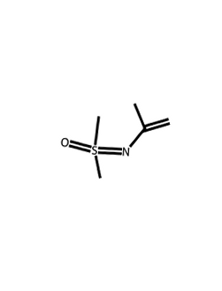 C=C(C)N=S(C)(C)=O